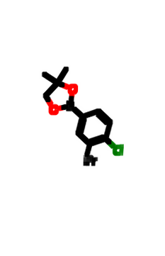 CC(C)c1cc(B2OCC(C)(C)O2)ccc1Cl